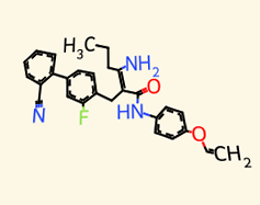 C=COc1ccc(NC(=O)/C(Cc2ccc(-c3ccccc3C#N)cc2F)=C(\N)CCC)cc1